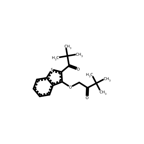 CC(C)(C)C(=O)COc1c(C(=O)C(C)(C)C)sc2ccccc12